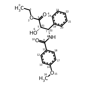 CCOC(=O)[C@@H](O)[C@@H](NC(=O)c1ccc(OC)cc1)c1ccccc1